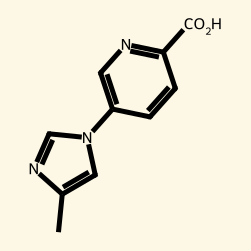 Cc1cn(-c2ccc(C(=O)O)nc2)cn1